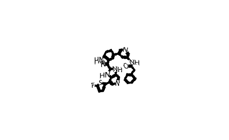 O=C(Cc1ccccc1)Nc1cncc(-c2ccc3[nH]nc(C4Nc5cncc(-c6ccc(F)s6)c5N4)c3c2)c1